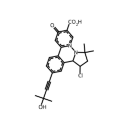 CC(C)(O)C#Cc1ccc2c(c1)C1C(Cl)CC(C)(C)N1n1cc(C(=O)O)c(=O)cc1-2